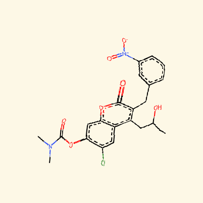 CC(O)Cc1c(Cc2cccc([N+](=O)[O-])c2)c(=O)oc2cc(OC(=O)N(C)C)c(Cl)cc12